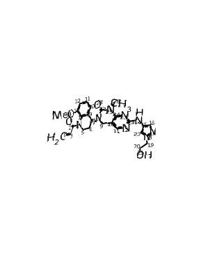 C=CC(=O)N1CC[C@@H](N2Cc3cnc(Nc4cnn(CCO)c4)nc3N(C)C2=O)c2cccc(OC)c21